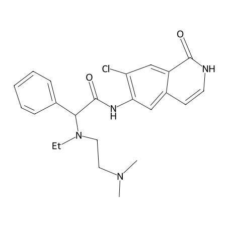 CCN(CCN(C)C)C(C(=O)Nc1cc2cc[nH]c(=O)c2cc1Cl)c1ccccc1